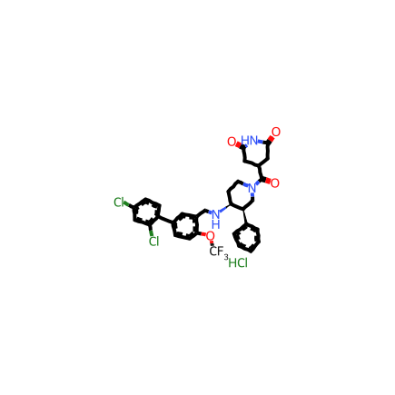 Cl.O=C1CC(C(=O)N2CC[C@H](NCc3cc(-c4ccc(Cl)cc4Cl)ccc3OC(F)(F)F)[C@H](c3ccccc3)C2)CC(=O)N1